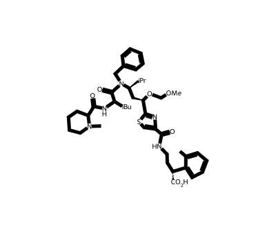 CCC(C)C(NC(=O)C1CCCCN1C)C(=O)N(Cc1ccccc1)[C@H](C[C@@H](OCOC)c1nc(C(=O)NCC[C@@H](C(=O)O)c2ccccc2C)cs1)C(C)C